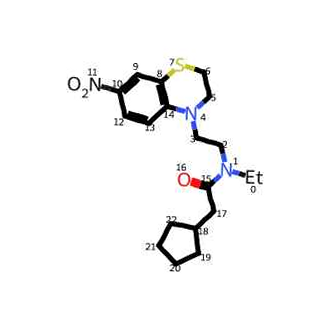 CCN(CCN1CCSc2cc([N+](=O)[O-])ccc21)C(=O)CC1CCCC1